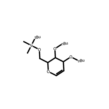 CCCCOC1C=COC(CO[Si](C)(C)C(C)(C)C)C1OCCCC